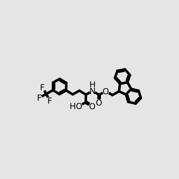 O=C(NC(CCc1cccc(C(F)(F)F)c1)C(=O)O)OCC1c2ccccc2-c2ccccc21